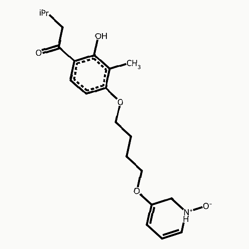 Cc1c(OCCCCOC2=CC=C[NH+]([O-])C2)ccc(C(=O)CC(C)C)c1O